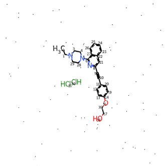 CCN1CCN(c2nc(C#Cc3ccc(OCCO)cc3)cc3ccccc23)CC1.Cl.Cl